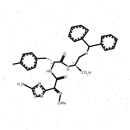 CO/N=C(/C(=O)N[C@H](Cc1ccc(I)cc1)C(=O)N[C@@H](CSC(c1ccccc1)c1ccccc1)C(=O)O)c1nsc(N)n1